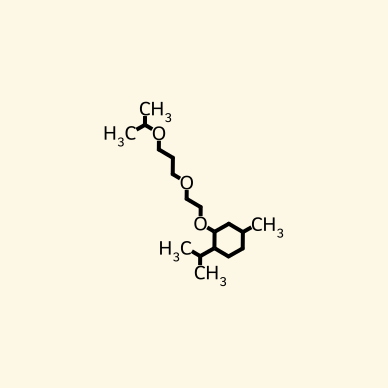 CC1CCC(C(C)C)C(OCCOCCCOC(C)C)C1